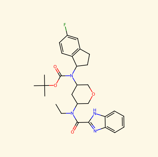 CCN(C(=O)c1nc2ccccc2[nH]1)C1COCC(N(C(=O)OC(C)(C)C)C2CCc3cc(F)ccc32)C1